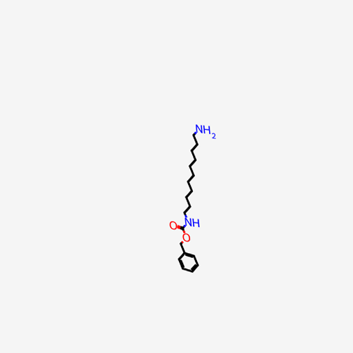 NCCCCCCCCCCCNC(=O)OCc1ccccc1